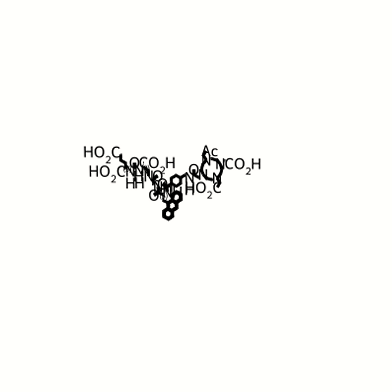 CC(=O)CN1CCN(CC(=O)O)CCN(CC(=O)O)CCN(CC(=O)NCC2CCC(C(=O)N[C@@H](Cc3c4ccccc4cc4ccccc34)C(=O)NCC(=O)NC[C@H](NC(=O)N[C@@H](CCCC(=O)O)C(=O)O)C(=O)O)CC2)CC1